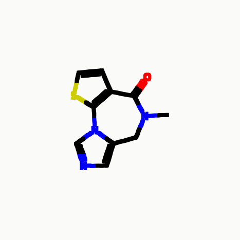 CN1Cc2cncn2-c2sccc2C1=O